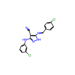 N#Cc1c(Nc2cccc(Cl)c2)n[nH]c1/N=C/c1ccc(Cl)cc1